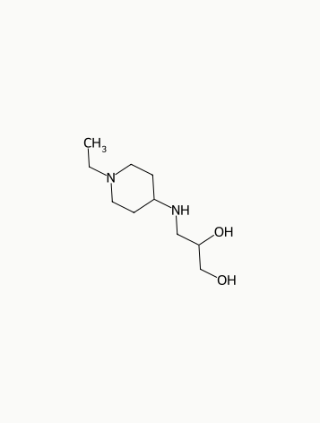 CCN1CCC(NCC(O)CO)CC1